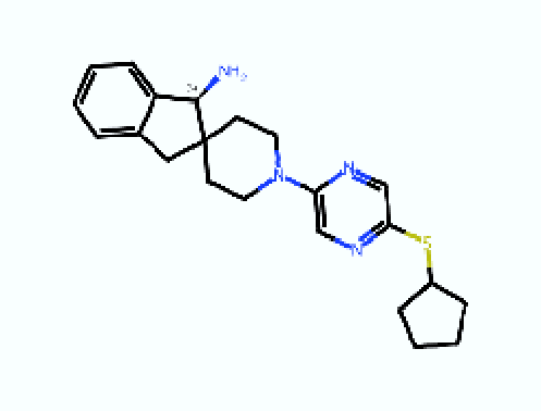 N[C@@H]1c2ccccc2CC12CCN(c1cnc(SC3CCCC3)cn1)CC2